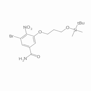 CC(C)(C)[Si](C)(C)OCCCOc1cc(C(N)=O)cc(Br)c1[N+](=O)[O-]